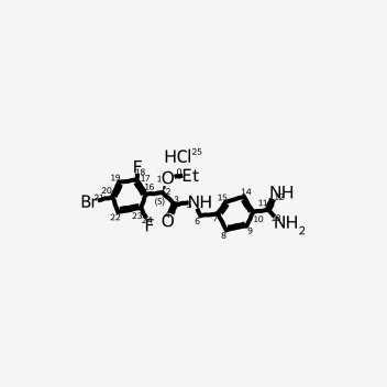 CCO[C@H](C(=O)NCc1ccc(C(=N)N)cc1)c1c(F)cc(Br)cc1F.Cl